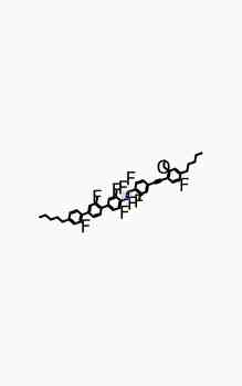 CCCCCc1ccc(-c2ccc(-c3cc(F)c(/C(F)=C(\F)c4c(F)cc(C#Cc5cc(F)c(CCCCC)cc5OC)cc4F)c(F)c3)c(F)c2)c(F)c1